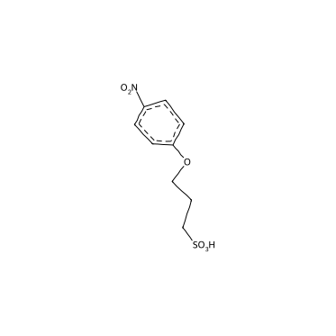 O=[N+]([O-])c1ccc(OCCCS(=O)(=O)O)cc1